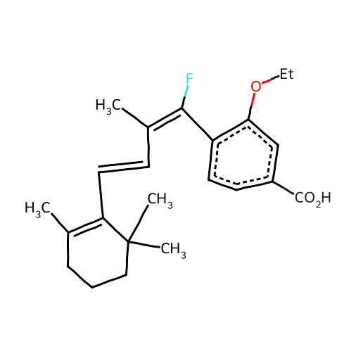 CCOc1cc(C(=O)O)ccc1C(F)=C(C)C=CC1=C(C)CCCC1(C)C